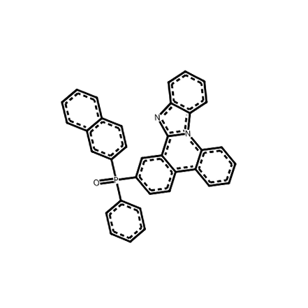 O=P(c1ccccc1)(c1ccc2ccccc2c1)c1ccc2c3ccccc3n3c4ccccc4nc3c2c1